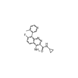 Cc1ccncc1-c1c(F)ccc2c(N)c(C(=O)NC3CC3)nnc12